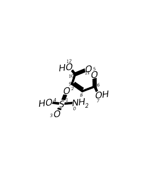 NS(=O)(=O)O.O=C(O)/C=C\C(=O)O